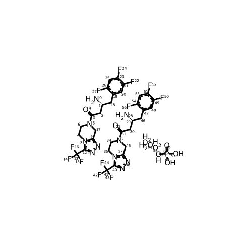 N[C@@H](CC(=O)N1CCn2c(nnc2C(F)(F)F)C1)Cc1cc(F)c(F)cc1F.N[C@@H](CC(=O)N1CCn2c(nnc2C(F)(F)F)C1)Cc1cc(F)c(F)cc1F.O.O.O.O=P(O)(O)O